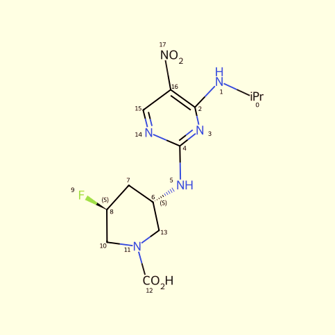 CC(C)Nc1nc(N[C@H]2C[C@H](F)CN(C(=O)O)C2)ncc1[N+](=O)[O-]